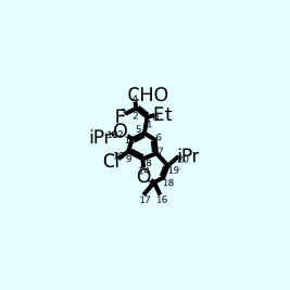 CCC(=C(F)C=O)c1cc2c(c(Cl)c1OC(C)C)OC(C)(C)C=C2C(C)C